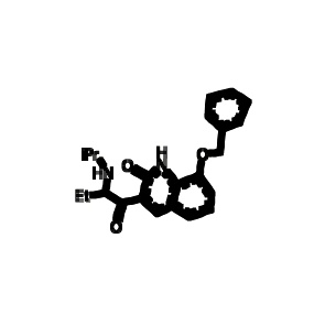 CCC(NC(C)C)C(=O)c1cc2cccc(OCc3ccccc3)c2[nH]c1=O